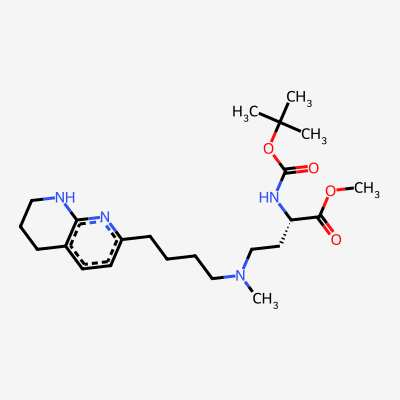 COC(=O)[C@H](CCN(C)CCCCc1ccc2c(n1)NCCC2)NC(=O)OC(C)(C)C